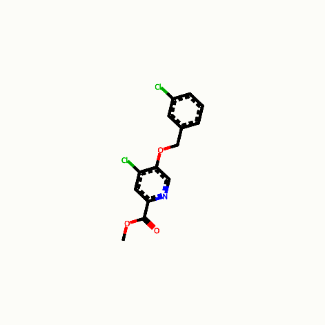 COC(=O)c1cc(Cl)c(OCc2cccc(Cl)c2)cn1